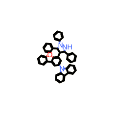 c1ccc(C2NN(c3ccccc3)C(c3ccccc3)C2c2cc(-n3c4ccccc4c4ccccc43)cc3c2oc2ccccc23)cc1